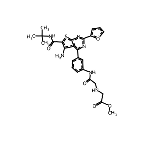 COC(=O)CNCC(=O)Nc1cccc(-c2nc(-c3ccco3)nc3sc(C(=O)NC(C)(C)C)c(N)c23)c1